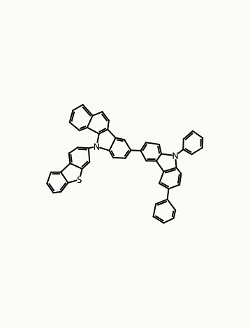 c1ccc(-c2ccc3c(c2)c2cc(-c4ccc5c(c4)c4ccc6ccccc6c4n5-c4ccc5c(c4)sc4ccccc45)ccc2n3-c2ccccc2)cc1